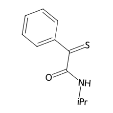 CC(C)NC(=O)C(=S)c1ccccc1